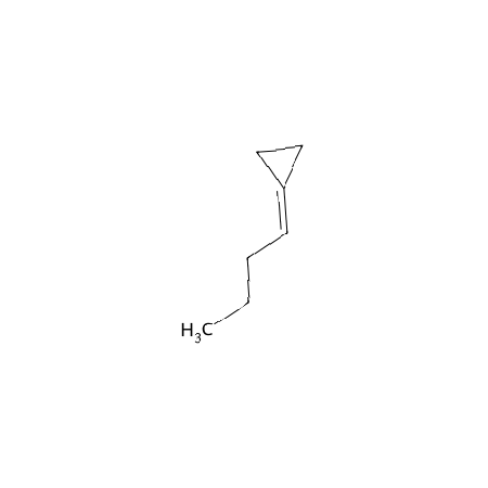 CCCC=C1CC1